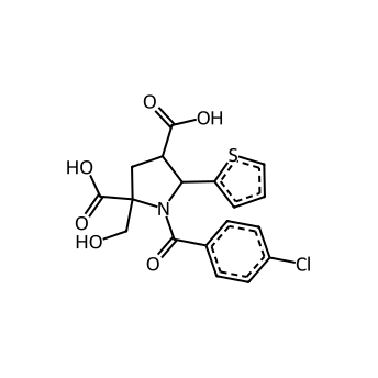 O=C(O)C1CC(CO)(C(=O)O)N(C(=O)c2ccc(Cl)cc2)C1c1cccs1